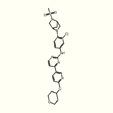 CS(=O)(=O)N1CC2CC1CN2c1ccc(Nc2nccc(-c3ccc(OC4CCOCC4)nc3)n2)cc1Cl